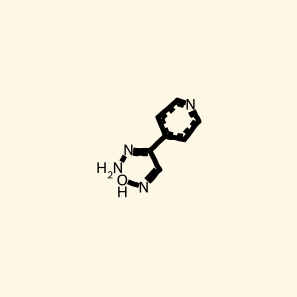 N/N=C(\C=N/O)c1ccncc1